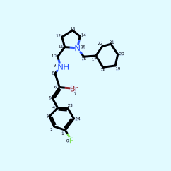 Fc1ccc(/C=C(\Br)CNCC2CCCN2CC2CCCCC2)cc1